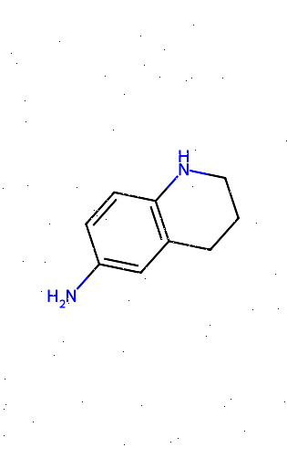 Nc1ccc2c(c1)CCCN2